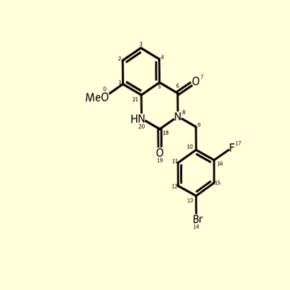 COc1cccc2c(=O)n(Cc3ccc(Br)cc3F)c(=O)[nH]c12